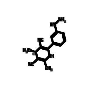 [C-]#[N+]C1=C(c2cccc(NN)c2)NC(C)=C(C#N)[C@H]1C